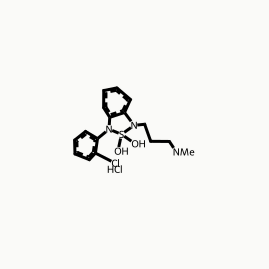 CNCCCN1c2ccccc2N(c2ccccc2Cl)S1(O)O.Cl